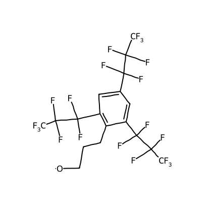 [O]CCCc1c(C(F)(F)C(F)(F)C(F)(F)F)cc(C(F)(F)C(F)(F)C(F)(F)F)cc1C(F)(F)C(F)(F)C(F)(F)F